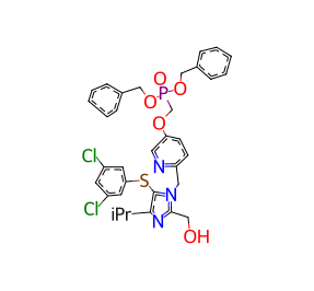 CC(C)c1nc(CO)n(Cc2ccc(OCP(=O)(OCc3ccccc3)OCc3ccccc3)cn2)c1Sc1cc(Cl)cc(Cl)c1